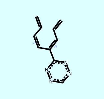 C=C/C=C\C(=C/C=C)c1nncnn1